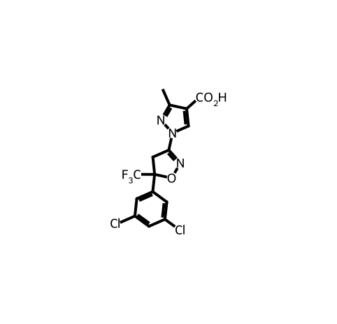 Cc1nn(C2=NOC(c3cc(Cl)cc(Cl)c3)(C(F)(F)F)C2)cc1C(=O)O